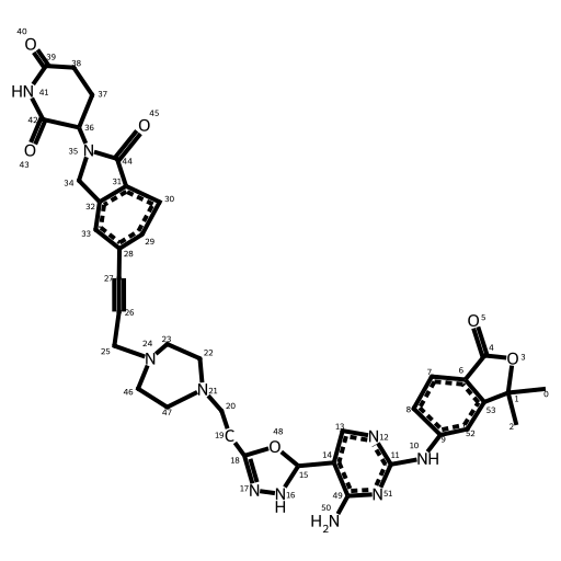 CC1(C)OC(=O)c2ccc(Nc3ncc(C4NN=C(CCN5CCN(CC#Cc6ccc7c(c6)CN(C6CCC(=O)NC6=O)C7=O)CC5)O4)c(N)n3)cc21